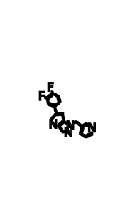 Fc1ccc(-c2cnc3cnn(Cc4cccnc4)c3c2)cc1F